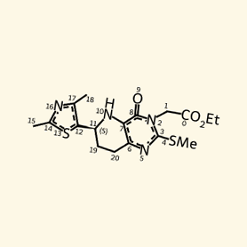 CCOC(=O)Cn1c(SC)nc2c(c1=O)N[C@H](c1sc(C)nc1C)CC2